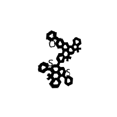 CC1(C)c2ccccc2-c2c1cc1c3c(c4cc5oc6ccccc6c5cc4cc23)-c2ccc(-c3c4cc5sc6ccccc6c5c5c4c(c4c3sc3ccccc34)C(C)(C)c3ccccc3-5)cc2C1(C)C